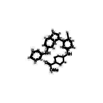 COC(=O)C1CCC(Nc2ncc(C)c(-c3cnc4ccc(Nc5cncnc5)cn34)n2)CC1